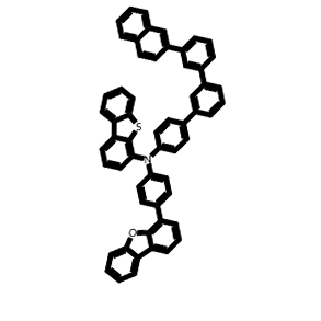 c1cc(-c2ccc(N(c3ccc(-c4cccc5c4oc4ccccc45)cc3)c3cccc4c3sc3ccccc34)cc2)cc(-c2cccc(-c3ccc4ccccc4c3)c2)c1